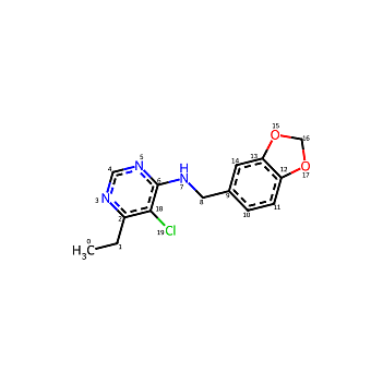 CCc1ncnc(NCc2ccc3c(c2)OCO3)c1Cl